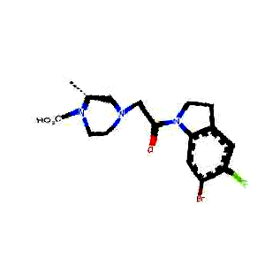 C[C@@H]1CN(CC(=O)N2CCc3cc(F)c(Br)cc32)CCN1C(=O)O